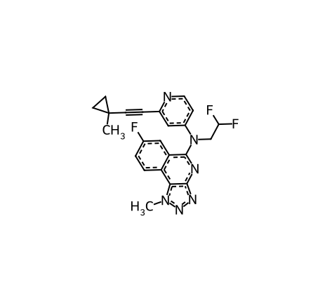 Cn1nnc2nc(N(CC(F)F)c3ccnc(C#CC4(C)CC4)c3)c3cc(F)ccc3c21